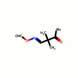 CC(C)(C)C(=O)C(C)(C)C=NOC=O